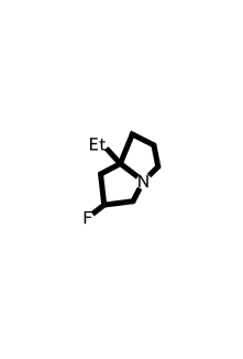 CCC12CCCN1CC(F)C2